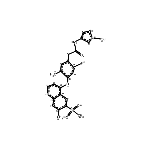 Cc1cc(CC(=O)Nc2cnn(C(C)(C)C)c2)c(F)cc1Oc1ccnc2cc(C)c(S(C)(=O)=O)cc12